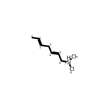 CC=CCC=CC[SiH](Cl)Cl